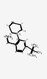 CC(C)(C)c1ccc(CN)c(N2CCCCC2)n1